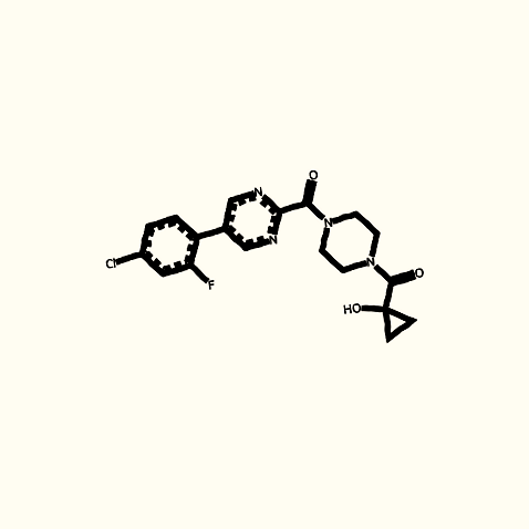 O=C(c1ncc(-c2ccc(Cl)cc2F)cn1)N1CCN(C(=O)C2(O)CC2)CC1